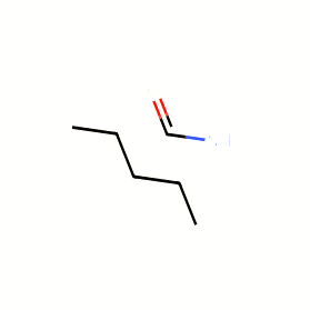 CCCCC.NC=O